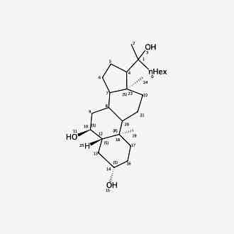 CCCCCCC(C)(O)C1CCC2C3C[C@H](O)[C@H]4C[C@@H](O)CC[C@]4(C)C3CC[C@@]21C